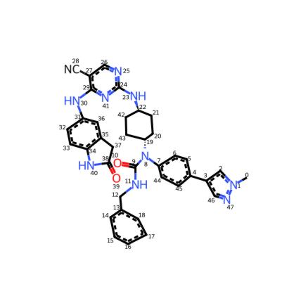 Cn1cc(-c2ccc(N(C(=O)NCc3ccccc3)[C@H]3CC[C@H](Nc4ncc(C#N)c(Nc5ccc6c(c5)CC(=O)N6)n4)CC3)cc2)cn1